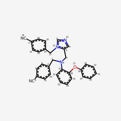 N#Cc1ccc(CN(Cc2cncn2Cc2ccc(C#N)cc2)c2ccccc2Oc2ccccc2)cc1